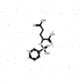 O=C(O)CCC(OP(=O)(O)c1cccnc1)C(=O)O